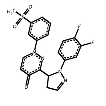 CS(=O)(=O)c1cccc(-n2ccc(=O)c(C3CC=NN3c3ccc(F)c(F)c3)n2)c1